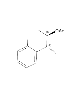 CC(=O)O[C@H](C)[C@H](C)c1ccccc1C